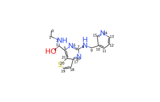 CCNC(O)c1nc(NCc2cccnc2)nc2ccsc12